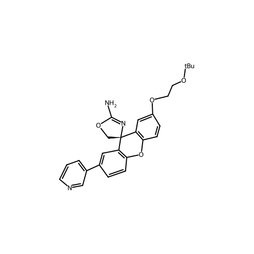 CC(C)(C)OCCOc1ccc2c(c1)[C@]1(COC(N)=N1)c1cc(-c3cccnc3)ccc1O2